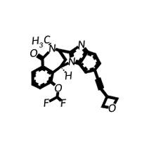 CN1C(=O)c2cccc(OC(F)F)c2[C@H]2CC1c1nc3ccc(C#CC4COC4)cc3n12